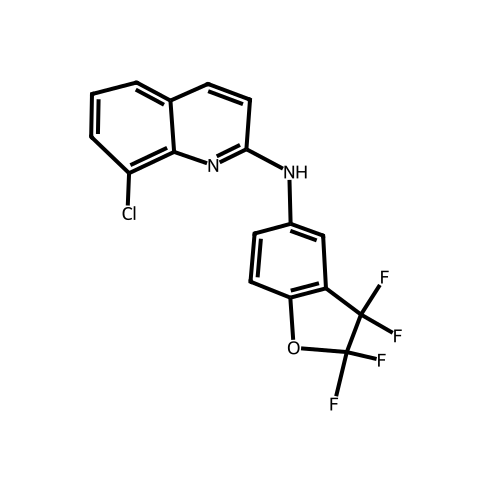 FC1(F)Oc2ccc(Nc3ccc4cccc(Cl)c4n3)cc2C1(F)F